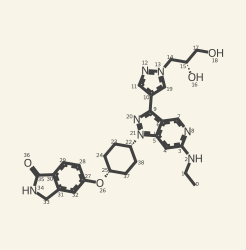 CCNc1cc2c(cn1)c(-c1cnn(C[C@@H](O)CO)c1)nn2[C@H]1CC[C@@H](Oc2ccc3c(c2)CNC3=O)CC1